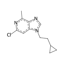 Cc1nc(Cl)cc2c1ncn2CCC1CC1